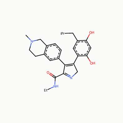 CCNC(=O)C1=NCC(c2cc(CC(C)C)c(O)cc2O)=C1c1ccc2c(c1)CCN(C)C2